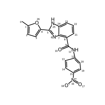 Cc1ccc(-c2nc3c(C(=O)Nc4ccc([N+](=O)[O-])cc4)cccc3[nH]2)o1